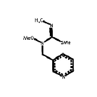 C/N=C(/SC)N(Cc1cccnc1)OC